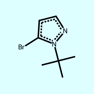 CC(C)(C)n1nccc1Br